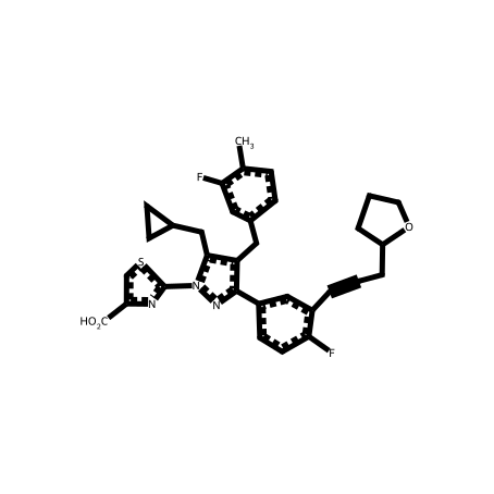 Cc1ccc(Cc2c(-c3ccc(F)c(C#CCC4CCCO4)c3)nn(-c3nc(C(=O)O)cs3)c2CC2CC2)cc1F